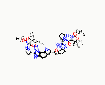 COC(=O)N[C@H](C(=O)N1CCC[C@H]1c1nc2ccc3cc(-c4cc5ccc6nc([C@@H]7CCCN7C(=O)[C@@H](NC(=O)OC)C(C)C)[nH]c6c5o4)cnc3c2[nH]1)C(C)C